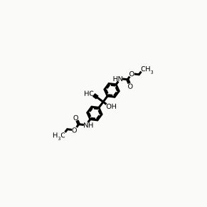 C#CC(O)(c1ccc(NC(=O)OCC)cc1)c1ccc(NC(=O)OCC)cc1